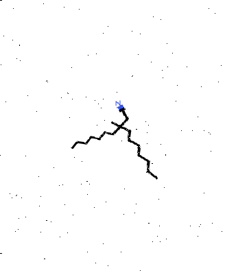 CCCCCCCC(C)(CC#N)CCCCCCC